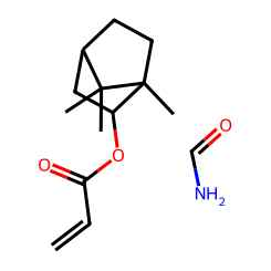 C=CC(=O)OC1CC2CCC1(C)C2(C)C.NC=O